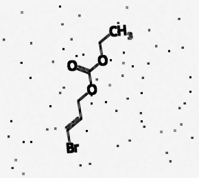 CCOC(=O)OC/C=C/Br